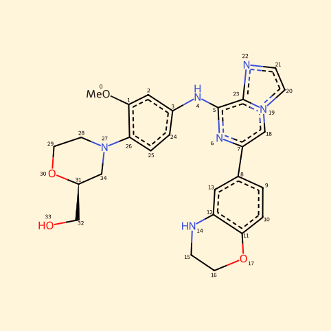 COc1cc(Nc2nc(-c3ccc4c(c3)NCCO4)cn3ccnc23)ccc1N1CCO[C@H](CO)C1